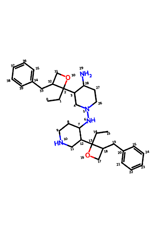 CCC1(C2CN(NC3CCNCC3C3(CC)OCC3Cc3ccccc3)CCC2N)OCC1Cc1ccccc1